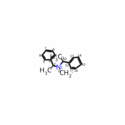 [CH2]N([C@@H](C)c1ccccc1)[C@@H](C)c1ccccc1